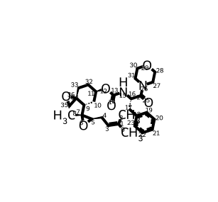 CC(C)=CC[C@H]1O[C@]1(C)[C@H]1C[C@H](OC(=O)N[C@@H](Cc2ccccc2)C(=O)N2CCOCC2)CC[C@]12CO2